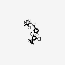 Cc1ncnc(NCCc2ccc(Oc3c(Cl)cc([N+](=O)[O-])cc3Cl)cc2)c1Cl